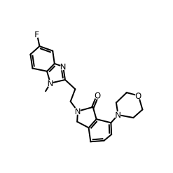 Cn1c(CCN2Cc3cccc(N4CCOCC4)c3C2=O)nc2cc(F)ccc21